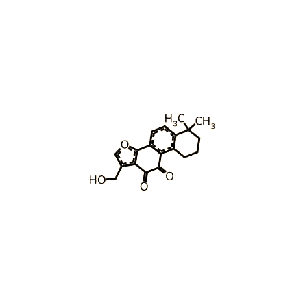 CC1(C)CCCc2c1ccc1c2C(=O)C(=O)c2c(CO)coc2-1